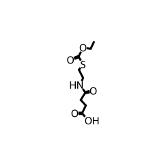 CCOC(=O)SCCNC(=O)CCC(=O)O